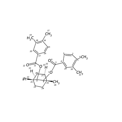 Cc1ccc(C(=O)O[C@@H]2[C@H](OC(=O)c3ccc(C)c(C)c3)[C@]3(C(C)C)CC[C@@]2(C)CC3)cc1C